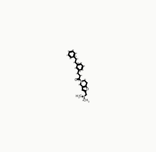 CN(C)Cc1cc2c(o1)CCN(C(=O)CCc1cccc(CCc3ccccc3)c1)C2